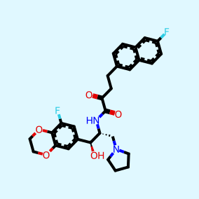 O=C(CCc1ccc2cc(F)ccc2c1)C(=O)N[C@H](CN1CCCC1)[C@@H](O)c1cc(F)c2c(c1)OCCO2